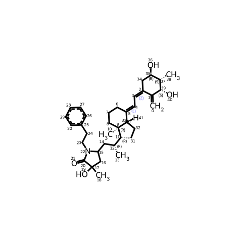 C=C1/C(=C\C=C2/CCC[C@]3(C)[C@@H]([C@H](C)CC4CC(C)(O)C(=O)N4CCc4ccccc4)CC[C@@H]23)C[C@@H](O)[C@H](C)[C@@H]1O